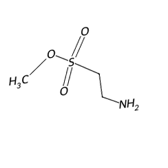 COS(=O)(=O)CCN